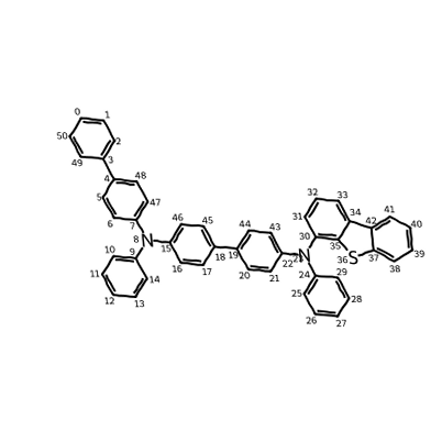 c1ccc(-c2ccc(N(c3ccccc3)c3ccc(-c4ccc(N(c5ccccc5)c5cccc6c5sc5ccccc56)cc4)cc3)cc2)cc1